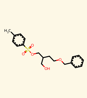 Cc1ccc(S(=O)(=O)OCC(CO)CCOCc2ccccc2)cc1